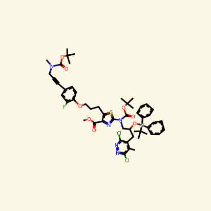 COC(=O)c1nc(N(CC(Cc2c(Cl)nnc(Cl)c2C)O[Si](c2ccccc2)(c2ccccc2)C(C)(C)C)C(=O)OC(C)(C)C)sc1CCCOc1ccc(C#CCN(C)C(=O)OC(C)(C)C)cc1F